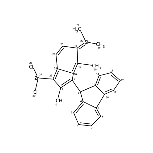 CC1=C(C2c3ccccc3-c3ccccc32)c2c(C)c(=[Si](C)C)ccc2=[C]1[Zr]([Cl])[Cl]